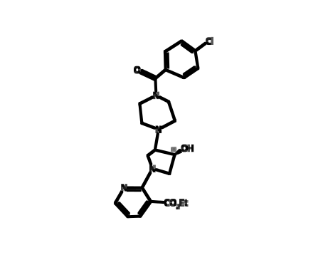 CCOC(=O)c1cccnc1N1CC(N2CCN(C(=O)c3ccc(Cl)cc3)CC2)[C@@H](O)C1